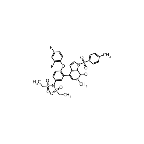 CCS(=O)(=O)N(c1ccc(Oc2ccc(F)cc2F)c(-c2cn(C)c(=O)c3c2ccn3S(=O)(=O)c2ccc(C)cc2)c1)S(=O)(=O)CC